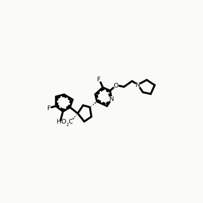 Cc1c(F)cccc1[C@]1(C(=O)O)CC[C@@H](c2cnc(OCCN3CCCC3)c(F)c2)C1